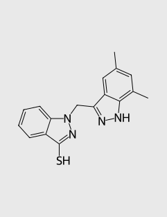 Cc1cc(C)c2[nH]nc(Cn3nc(S)c4ccccc43)c2c1